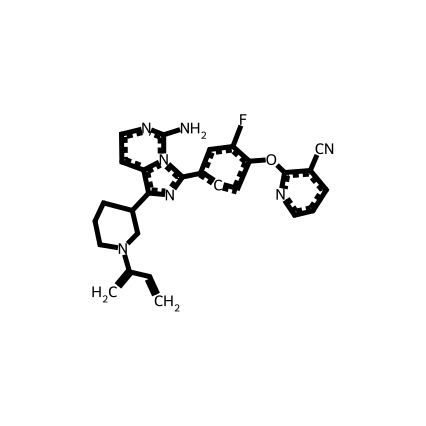 C=CC(=C)N1CCCC(c2nc(-c3ccc(Oc4ncccc4C#N)c(F)c3)n3c(N)nccc23)C1